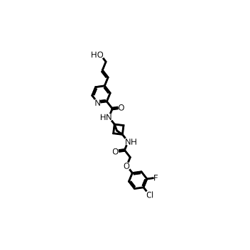 O=C(COc1ccc(Cl)c(F)c1)NC12CC(NC(=O)c3cc(/C=C/CO)ccn3)(C1)C2